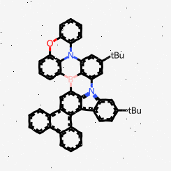 CC(C)(C)c1cc2c3c(c1)-n1c4cc(C(C)(C)C)ccc4c4c5c6ccccc6c6ccccc6c5cc(c41)B3c1cccc3c1N2c1ccccc1O3